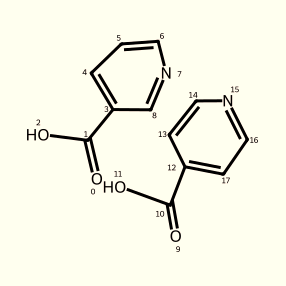 O=C(O)c1cccnc1.O=C(O)c1ccncc1